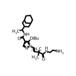 CC(C)COc1c(C(=O)NC(C)C2CC3CCCC(C3)C2)cnn1/C=C/C(C)(C)C(=O)NCCN